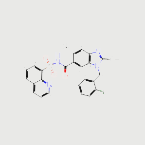 Cc1nc2ccc(C(=O)NS(=O)(=O)c3cccc4cccnc34)cc2n1Cc1ccccc1Cl.[Na]